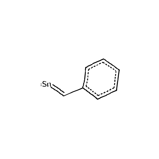 [Sn]=[CH]c1ccccc1